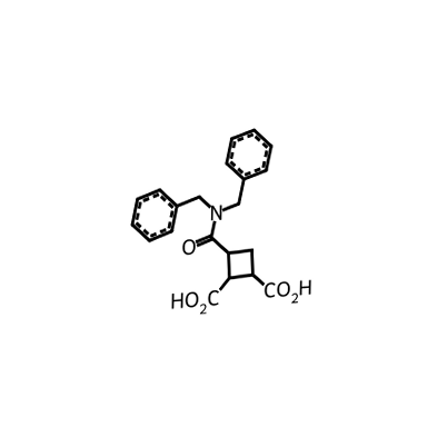 O=C(O)C1CC(C(=O)N(Cc2ccccc2)Cc2ccccc2)C1C(=O)O